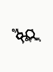 CC1(c2cc([N+](=O)[O-])ccc2F)CCSCC(N)=N1